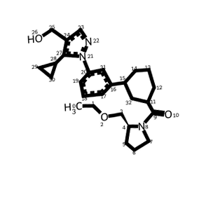 CCOC[C@@H]1CCCN1C(=O)C1CCCC(c2cccc(-n3ncc(CO)c3C3CC3)c2)C1